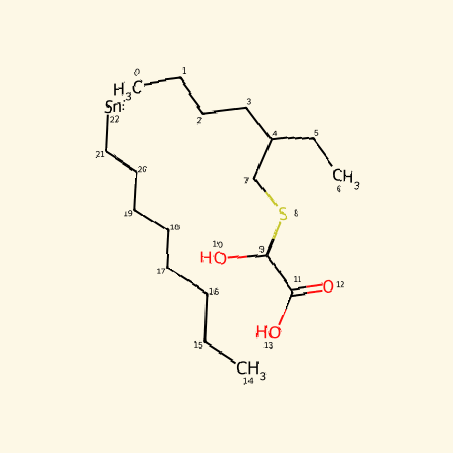 CCCCC(CC)CSC(O)C(=O)O.CCCCCCC[CH2][Sn]